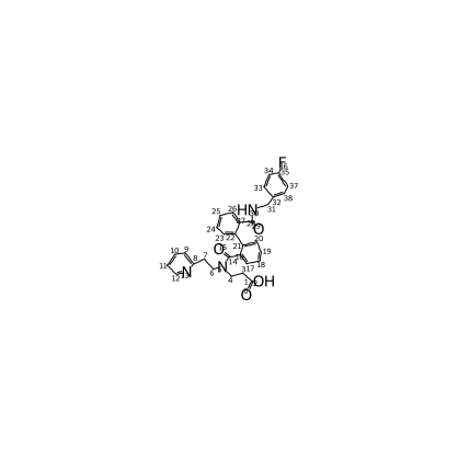 O=C(O)CCN(CCc1ccccn1)C(=O)c1ccccc1-c1ccccc1C(=O)NCc1ccc(F)cc1